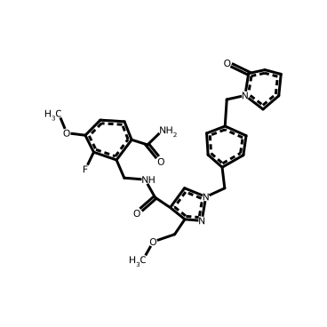 COCc1nn(Cc2ccc(Cn3ccccc3=O)cc2)cc1C(=O)NCc1c(C(N)=O)ccc(OC)c1F